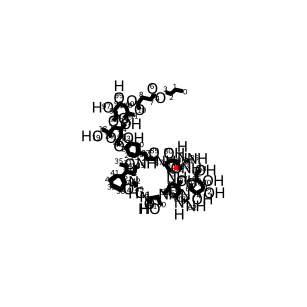 CCCCOC(=O)CCC1OCC2OC(OC3C(CO)OC(Oc4ccc(CC5NC(=O)C(C(CC)c6ccccc6)NC(=O)CNC(=O)C(CO)NC(=O)C(C(O)C6CNC(=N)N6C6OC(CO)C(O)C(O)C6O)NC(=O)C(C(O)C6CNC(=N)N6)NC5=O)cc4)C(O)C3O)C(O)C(O)C2O1